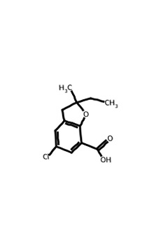 CCC1(C)Cc2cc(Cl)cc(C(=O)O)c2O1